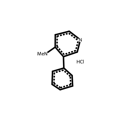 CNc1ccncc1-c1ccccc1.Cl